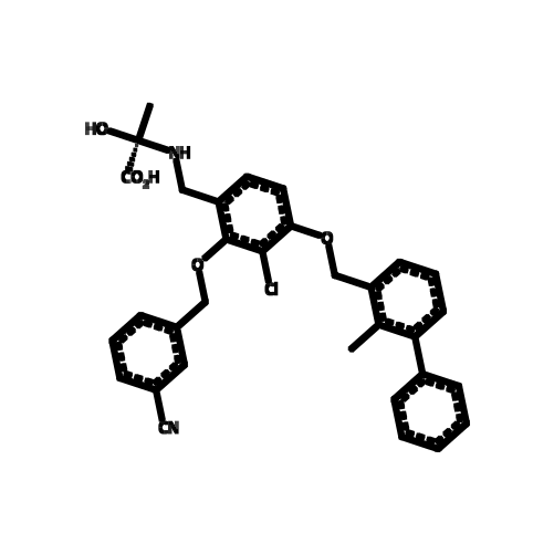 Cc1c(COc2ccc(CN[C@](C)(O)C(=O)O)c(OCc3cccc(C#N)c3)c2Cl)cccc1-c1ccccc1